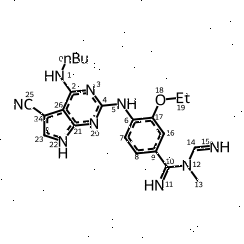 CCCCNc1nc(Nc2ccc(C(=N)N(C)C=N)cc2OCC)nc2[nH]cc(C#N)c12